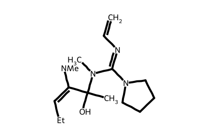 C=C/N=C(/N1CCCC1)N(C)C(C)(O)/C(=C\CC)NC